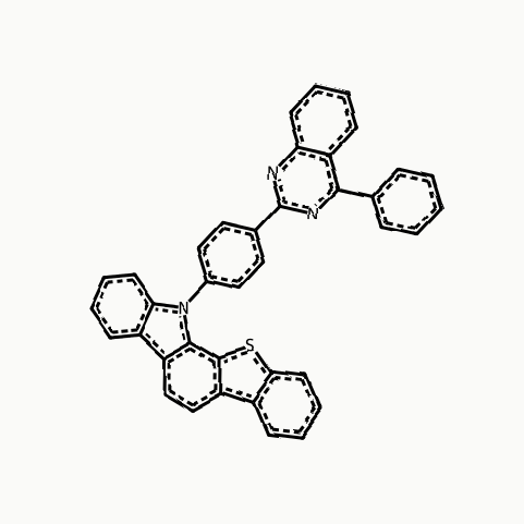 c1ccc(-c2nc(-c3ccc(-n4c5ccccc5c5ccc6c7ccccc7sc6c54)cc3)nc3ccccc23)cc1